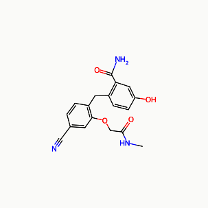 CNC(=O)COc1cc(C#N)ccc1Cc1ccc(O)cc1C(N)=O